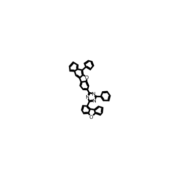 c1ccc(-c2nc(-c3ccc4c(c3)oc3c(-c5ccccc5)c5ccccc5cc34)nc(-c3cccc4oc5ccccc5c34)n2)cc1